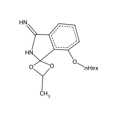 CCCCCCOc1cccc2c1C1(NC2=N)OC(C)O1